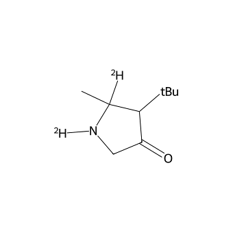 [2H]N1CC(=O)C(C(C)(C)C)C1([2H])C